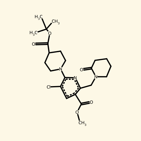 COC(=O)c1cc(Cl)c(N2CCC(C(=O)OC(C)(C)C)CC2)nc1CN1CCCCC1=O